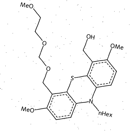 CCCCCCN1c2ccc(OC)c(CO)c2Sc2c1ccc(OC)c2COCOCCOC